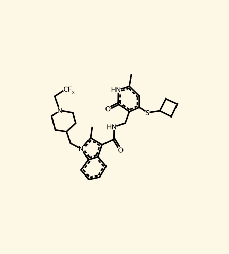 Cc1cc(SC2CCC2)c(CNC(=O)c2c(C)n(CC3CCN(CC(F)(F)F)CC3)c3ccccc23)c(=O)[nH]1